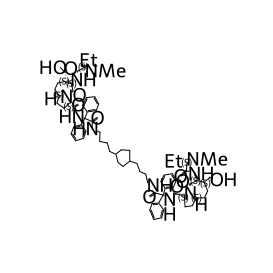 CC[C@H](NC)C(=O)N[C@@H]1C(=O)N2[C@@H](CC[C@@H]1CO)CC[C@H]2C(=O)NC(C(=O)NCCCCC1CCC(CCCCNC(=O)C(NC(=O)[C@@H]2CC[C@@H]3CC[C@H](CO)[C@H](NC(=O)[C@H](CC)NC)C(=O)N32)(c2ccccc2)c2ccccc2)CC1)(c1ccccc1)c1ccccc1